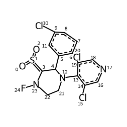 O=S(=O)=C1C(c2cccc(Cl)c2)N(c2c(Cl)cncc2Cl)CCN1F